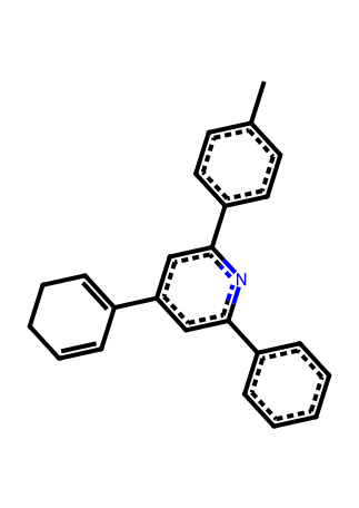 Cc1ccc(-c2cc(C3=CCCC=C3)cc(-c3ccccc3)n2)cc1